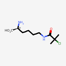 CC(C)(Cl)C(=O)NCCCC[C@H](N)C(=O)O